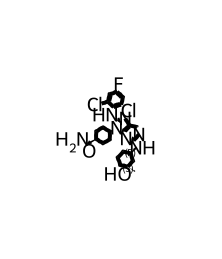 C[C@]1(O)CCC[C@@H](Nc2ncc3nc(Nc4c(Cl)cc(F)cc4Cl)n([C@H]4CC[C@H](C(N)=O)CC4)c3n2)C1